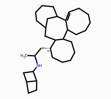 CC(C[C@H]1CCCCCC2C3CCCCC/C=C\3C3CCCCC(C3)CC21)NC1CC2CCC21